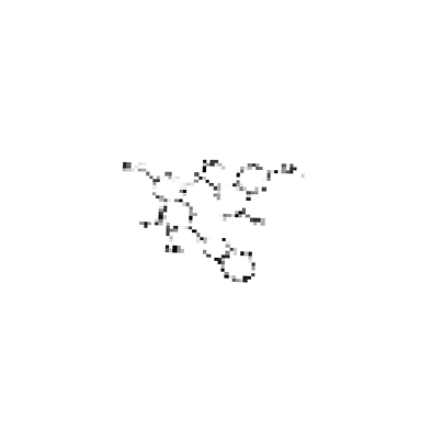 Cc1cc([C@@H](C)Nc2ccc(N)nc2C(=O)O)c2nc(N3Cc4ccccc4C3)n(C)c(=O)c2c1